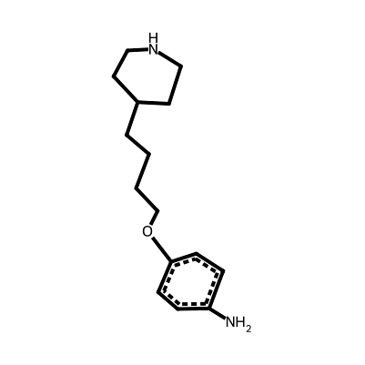 Nc1ccc(OCCCCC2CCNCC2)cc1